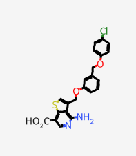 Nc1ncc(C(=O)O)c2scc(COc3cccc(COc4ccc(Cl)cc4)c3)c12